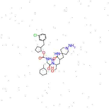 NN1CCC2(CC1)CC(CC(CO)NC(=O)[C@H](CC1CCCCC1)NC(=O)OC1CCCC1Cc1cccc(Cl)c1)C(=O)N2